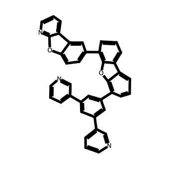 c1cncc(-c2cc(-c3cccnc3)cc(-c3cccc4c3oc3c(-c5ccc6oc7ncccc7c6c5)cccc34)c2)c1